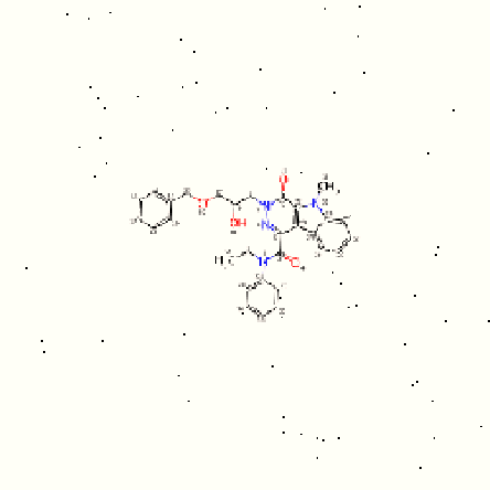 CCN(C(=O)c1nn(CC(O)COCc2ccccc2)c(=O)c2c1c1ccccc1n2C)c1ccccc1